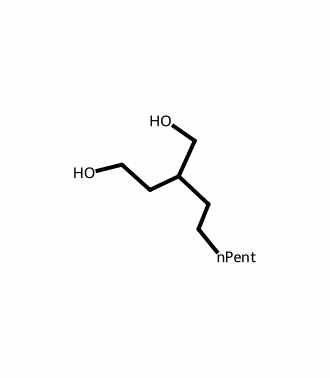 CCCCCCCC(CO)CCO